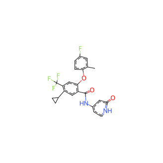 Cc1cc(F)ccc1Oc1cc(C(F)(F)F)c(C2CC2)cc1C(=O)Nc1cc[nH]c(=O)c1